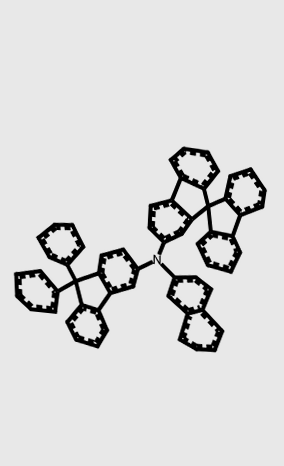 c1ccc(C2(c3ccccc3)c3ccccc3-c3cc(N(c4ccc5c(c4)C4(c6ccccc6-c6ccccc64)c4ccccc4-5)c4ccc5ccccc5c4)ccc32)cc1